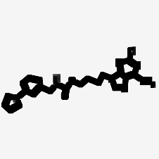 Nc1nc(Cl)nc2c1ncn2CCCCOC(=O)NCc1cccc(-n2cccc2)c1